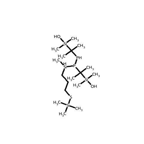 C[SiH](CCCS[Si](C)(C)C)P(PC(C)(C)[Si](C)(C)O)C(C)(C)[Si](C)(C)O